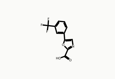 O=C(O)c1ncc(-c2cccc(C(F)(F)F)c2)o1